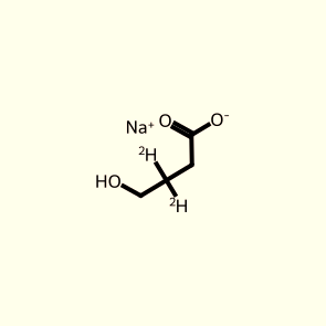 [2H]C([2H])(CO)CC(=O)[O-].[Na+]